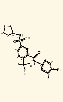 Cc1cc(NC(=O)c2cc(S(=O)(=O)N[C@H]3CCOC3)ccc2C(F)(F)F)ccc1F